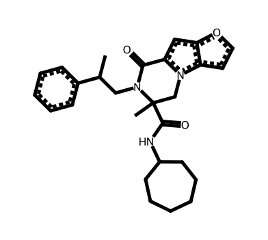 CC(CN1C(=O)c2cc3occc3n2CC1(C)C(=O)NC1CCCCCC1)c1ccccc1